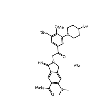 Br.CNC(=O)c1cc2c(cc1N(C)C)CN(CC(=O)c1cc(N3CCC(O)CC3)c(OC)c(C(C)(C)C)c1)C2=N